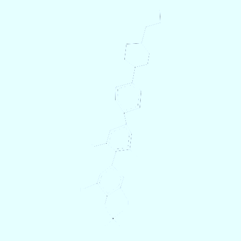 CCCC1CCC(c2ccc(-c3cc(F)c(-c4cc(F)c(OC(F)(F)F)c(F)c4)c(F)c3)cc2)CC1